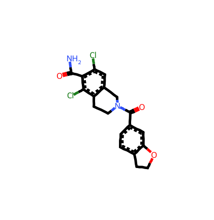 NC(=O)c1c(Cl)cc2c(c1Cl)CCN(C(=O)c1ccc3c(c1)OCC3)C2